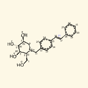 OC[C@H]1[C@@H](O)[C@H](O)[C@@H](O)CN1Cc1ccc(/C=C/c2ccccc2)cc1